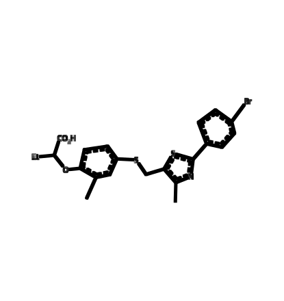 CCC(Oc1ccc(SCc2sc(-c3ccc(Br)cc3)nc2C)cc1C)C(=O)O